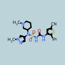 CC(C)c1sc(C#N)cc1NC(=O)NS(=O)(=O)N(c1cnn(C)c1)C1CCCN(C)C1